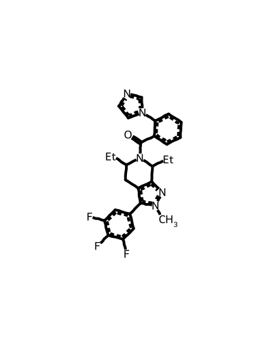 CCC1Cc2c(nn(C)c2-c2cc(F)c(F)c(F)c2)C(CC)N1C(=O)c1ccccc1-n1ccnc1